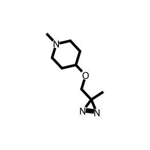 CN1CCC(OCC2(C)N=N2)CC1